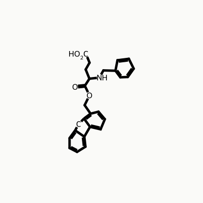 O=C(O)CCC(NCc1ccccc1)C(=O)OCc1cccc2c1Cc1ccccc1-2